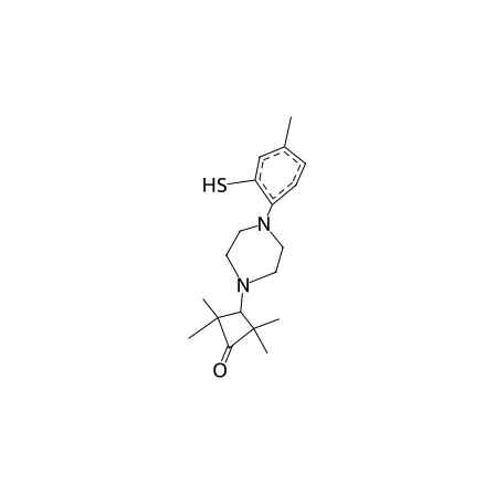 Cc1ccc(N2CCN(C3C(C)(C)C(=O)C3(C)C)CC2)c(S)c1